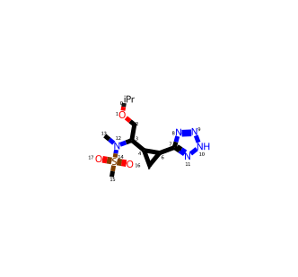 CC(C)OCC(C1CC1c1nn[nH]n1)N(C)S(C)(=O)=O